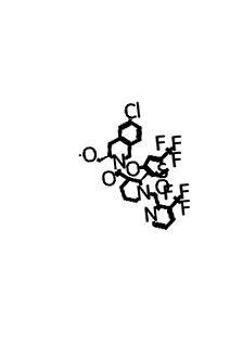 CCC[C@H]1N(C(=O)c2ncccc2C(F)(F)F)CCC[C@@]1(Oc1csc(C(F)(F)F)c1)C(=O)N1Cc2ccc(Cl)cc2C[C@@H]1C[O]